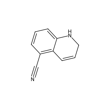 N#Cc1cccc2c1C=CCN2